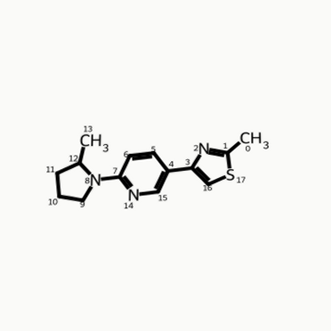 Cc1nc(-c2ccc(N3CCCC3C)nc2)cs1